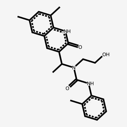 Cc1cc(C)c2[nH]c(=O)c(C(C)N(CCO)C(=O)Nc3ccccc3C)cc2c1